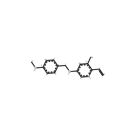 C=Cc1ncc(OCc2ccc(OC)cc2)cc1C